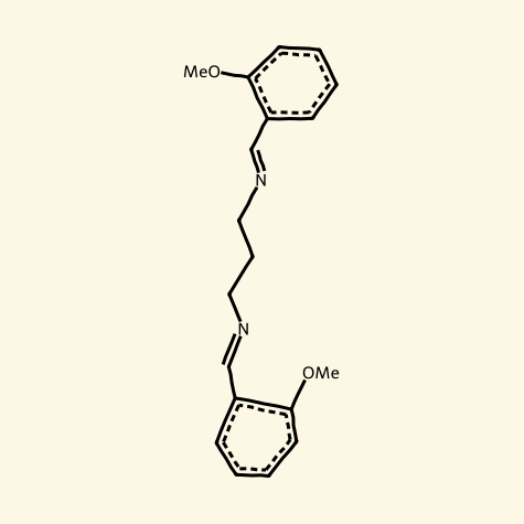 COc1ccccc1C=NCCCN=Cc1ccccc1OC